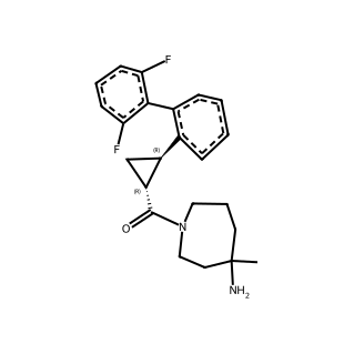 CC1(N)CCCN(C(=O)[C@@H]2C[C@H]2c2ccccc2-c2c(F)cccc2F)CC1